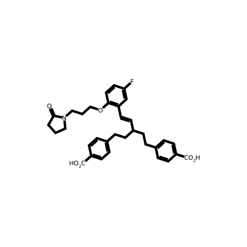 O=C(O)c1ccc(CCC(C=Cc2cc(F)ccc2OCCCN2CCCC2=O)CCc2ccc(C(=O)O)cc2)cc1